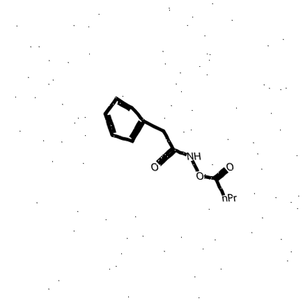 CCCC(=O)ONC(=O)Cc1ccccc1